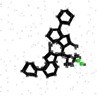 CCC1=Cc2c(-c3ccccc3)cccc2[CH]1[Hf+2]([SiH2]C)[CH]1C(CC)=Cc2c(-c3ccccc3)cccc21.CCCCCC.[Cl-].[Cl-]